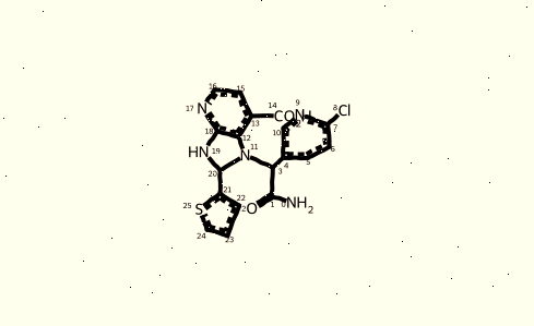 NC(=O)C(c1ccc(Cl)nc1)N1c2c(C(=O)O)ccnc2NC1c1cccs1